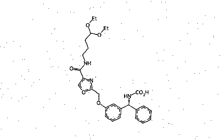 CCOC(CCCNC(=O)c1coc(COc2cccc([C@@H](NC(=O)O)c3ccccc3)c2)n1)OCC